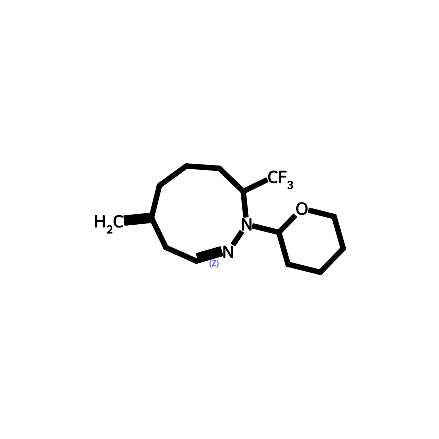 C=C1C/C=N\N(C2CCCCO2)C(C(F)(F)F)CCC1